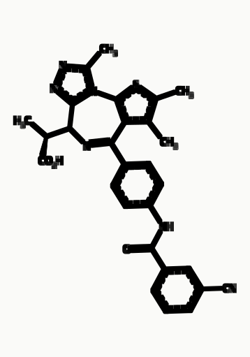 Cc1sc2c(c1C)C(c1ccc(NC(=O)c3cccc(C#N)c3)cc1)=NC([C@H](C)C(=O)O)c1nnc(C)n1-2